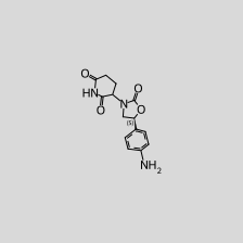 Nc1ccc([C@H]2CN(C3CCC(=O)NC3=O)C(=O)O2)cc1